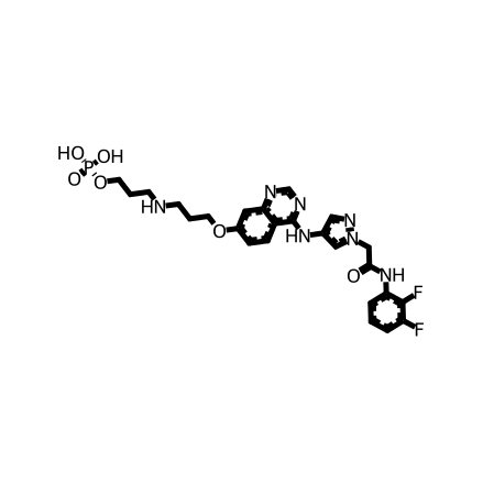 O=C(Cn1cc(Nc2ncnc3cc(OCCCNCCCOP(=O)(O)O)ccc23)cn1)Nc1cccc(F)c1F